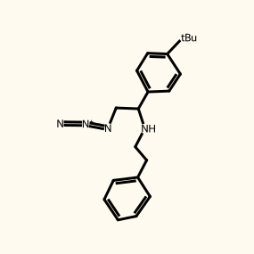 CC(C)(C)c1ccc(C(CN=[N+]=[N-])NCCc2ccccc2)cc1